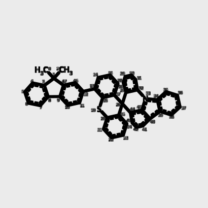 CC1(C)c2ccccc2-c2ccc(-c3cccc4c3Sc3ccccc3C43c4ccccc4-n4c5ccccc5c5cccc3c54)cc21